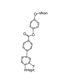 CCCCCCCCCOc1ccc(OC(=O)c2ccc(-c3ccc(CCCCCCC)c(F)c3)cc2)cc1